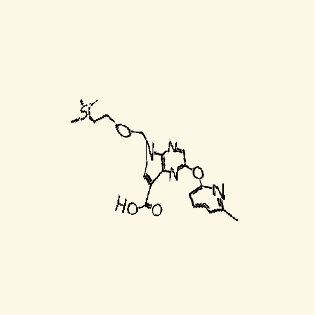 Cc1cccc(Oc2cnc3c(n2)c(C(=O)O)cn3COCC[Si](C)(C)C)n1